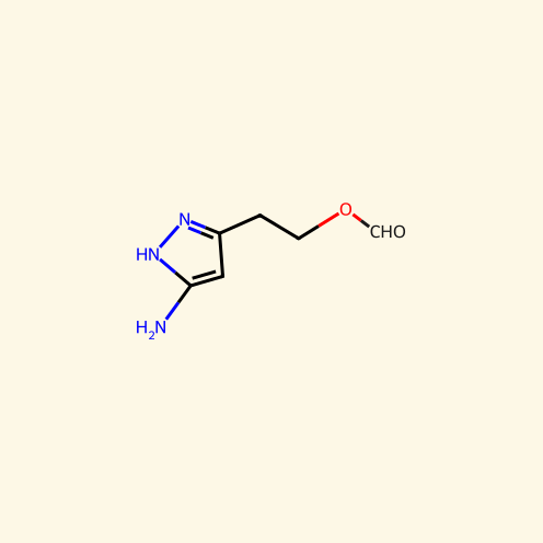 Nc1cc(CCOC=O)n[nH]1